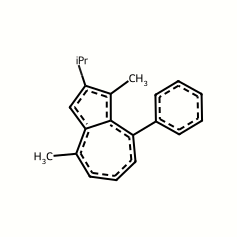 Cc1cccc(-c2ccccc2)c2c(C)c(C(C)C)cc1-2